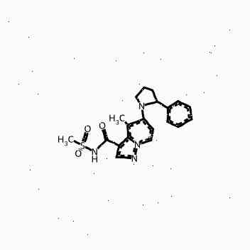 Cc1c(N2CCCC2c2ccccc2)ccn2ncc(C(=O)NS(C)(=O)=O)c12